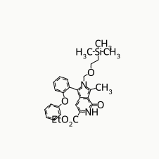 CCOC(=O)c1cc2c(-c3ccccc3Oc3ccccc3)n(COCC[Si](C)(C)C)c(C)c2c(=O)[nH]1